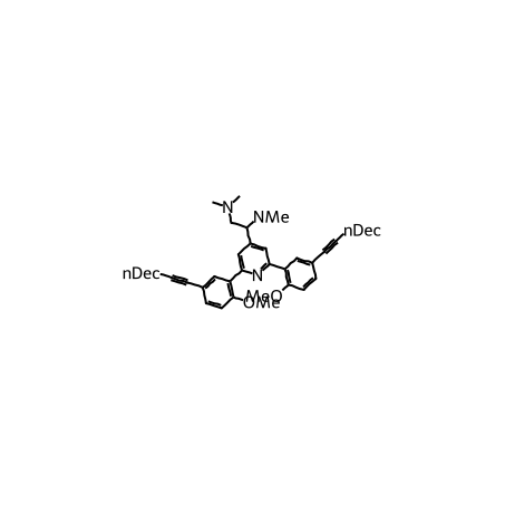 CCCCCCCCCCC#Cc1ccc(OC)c(-c2cc(C(CN(C)C)NC)cc(-c3cc(C#CCCCCCCCCCC)ccc3OC)n2)c1